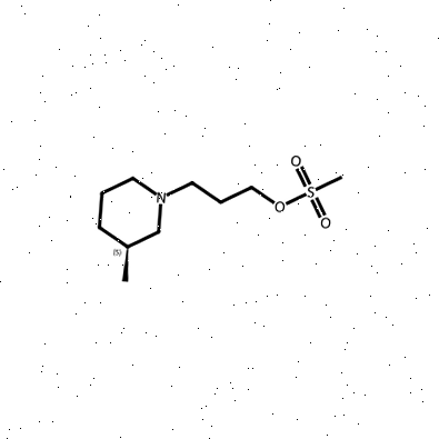 C[C@H]1CCCN(CCCOS(C)(=O)=O)C1